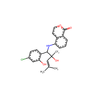 CC(C)=CC(O)(C(Nc1cccc2c(=O)occc12)c1ccc(Cl)cc1O)C(F)(F)F